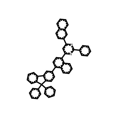 c1ccc(-c2nc(-c3ccc4ccccc4c3)cc(-c3ccc(-c4ccc5c(c4)-c4ccccc4C5(c4ccccc4)c4ccccc4)c4ccccc34)n2)cc1